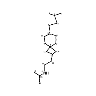 CC(C)CCN1CCC2(CC1)CC(CCNC(C)C)C2